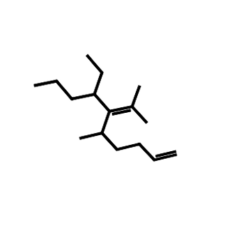 C=CCCC(C)C(=C(C)C)C(CC)CCC